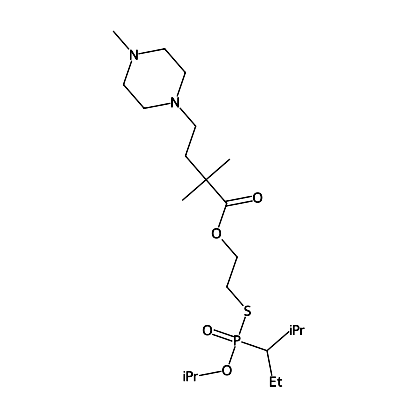 CCC(C(C)C)P(=O)(OC(C)C)SCCOC(=O)C(C)(C)CCN1CCN(C)CC1